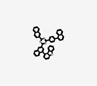 C1=CC2Oc3ccccc3C2C(c2cc(-c3nc(-c4ccc(-c5cccc6ccccc56)cc4)nc(-c4ccc5ccccc5c4)n3)cc3ccccc23)=C1